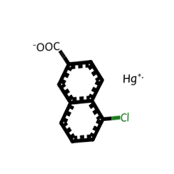 O=C([O-])c1ccc2c(Cl)cccc2c1.[Hg+]